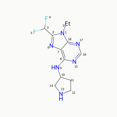 CCn1c(C(F)F)nc2c(NC3CCNC3)ncnc21